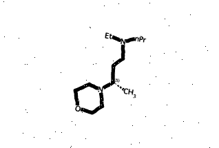 CCCN(CC)CC[C@H](C)N1CCOCC1